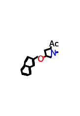 CC(=O)C1CC(OCc2ccc3ccccc3c2)CN1C